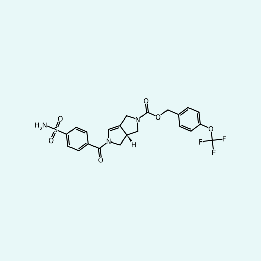 NS(=O)(=O)c1ccc(C(=O)N2C=C3CN(C(=O)OCc4ccc(OC(F)(F)F)cc4)C[C@@H]3C2)cc1